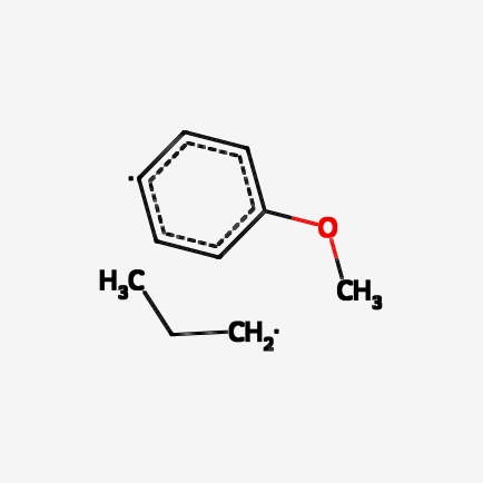 COc1cc[c]cc1.[CH2]CC